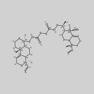 C=C[C@@]1(C)CCC=C2C1CCC([C@H](C)COC(=O)CCC(=O)OC[C@]1(C)CCC[C@@]3(C)C4=CCC[C@](C)(C=C)C4CCC13)[C@@]2(C)CCC